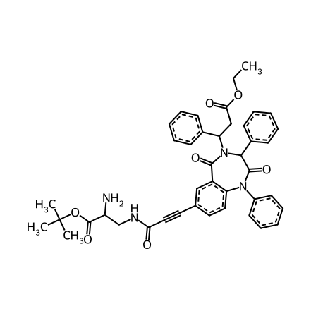 CCOC(=O)CC(c1ccccc1)N1C(=O)c2cc(C#CC(=O)NCC(N)C(=O)OC(C)(C)C)ccc2N(c2ccccc2)C(=O)C1c1ccccc1